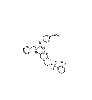 COc1ccc(N(C)C(=O)[C@H](Cc2ccccc2)NC(=O)CN2CCN(S(=O)(=O)c3ccccc3[N+](=O)[O-])CC2=O)cc1